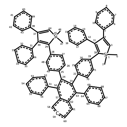 C[Si]1(C)C=C(c2ccccc2)C(c2ccccc2)=C1c1ccc(-c2c(-c3ccc(C4=C(c5ccccc5)C(c5ccccc5)=C[Si]4(C)C)cc3)c(-c3ccccc3)c3ccccc3c2-c2ccccc2)cc1